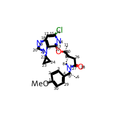 COc1ccc([C@@H](C)N2C[C@H]([C@@H](C)Oc3nc(Cl)cc4ncn(C5CC5)c34)CC2=O)cc1